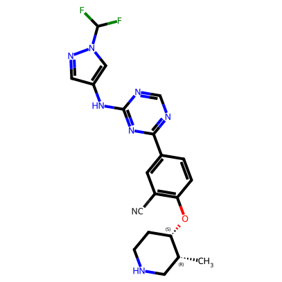 C[C@@H]1CNCC[C@@H]1Oc1ccc(-c2ncnc(Nc3cnn(C(F)F)c3)n2)cc1C#N